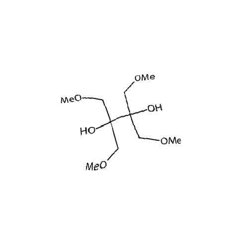 COCC(O)(COC)C(O)(COC)COC